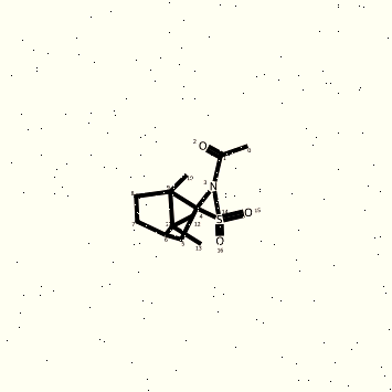 CC(=O)N1C2(CC3CCC2(C)C3(C)C)S1(=O)=O